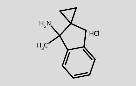 CC1(N)c2ccccc2CC12CC2.Cl